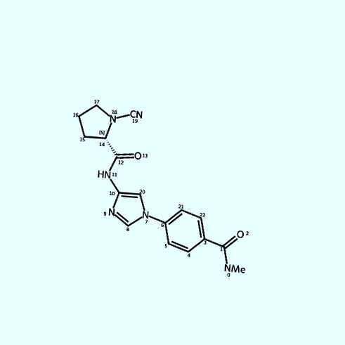 CNC(=O)c1ccc(-n2cnc(NC(=O)[C@@H]3CCCN3C#N)c2)cc1